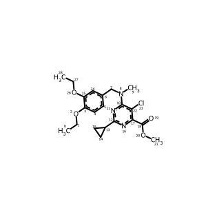 CCOc1ccc(CN(C)c2nc(C3CC3)nc(C(=O)OC)c2Cl)cc1OCC